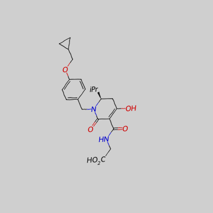 CC(C)[C@H]1CC(O)=C(C(=O)NCC(=O)O)C(=O)N1Cc1ccc(OCC2CC2)cc1